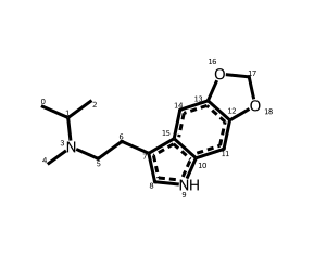 CC(C)N(C)CCc1c[nH]c2cc3c(cc12)OCO3